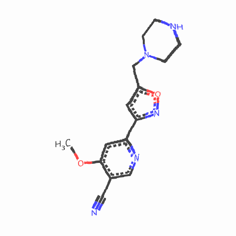 COc1cc(-c2cc(CN3CCNCC3)on2)ncc1C#N